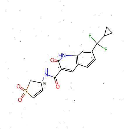 O=C(N[C@@H]1C=CS(=O)(=O)C1)c1cc2ccc(C(F)(F)C3CC3)cc2[nH]c1=O